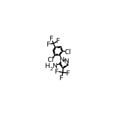 Nc1c(C(F)(F)F)cnn1-c1c(Cl)cc(C(F)(F)F)cc1Cl